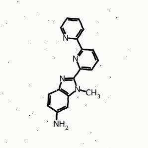 Cn1c(-c2cccc(-c3ccccn3)n2)nc2ccc(N)cc21